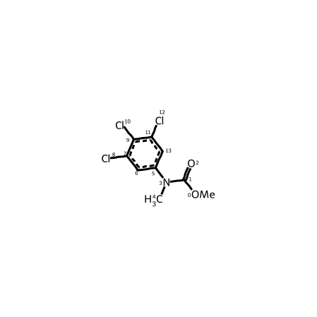 COC(=O)N(C)c1cc(Cl)c(Cl)c(Cl)c1